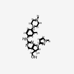 Cc1cc(Nc2ncc3c(n2)N(c2ccn(C)n2)C[C@@]3(C)CO)ccc1N1CCN(C)CC1